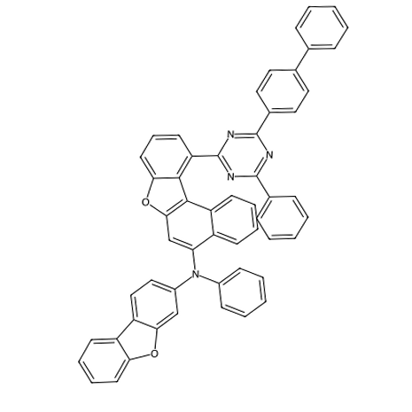 c1ccc(-c2ccc(-c3nc(-c4ccccc4)nc(-c4cccc5oc6cc(N(c7ccccc7)c7ccc8c(c7)oc7ccccc78)c7ccccc7c6c45)n3)cc2)cc1